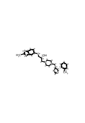 Cc1nc2cc(OC[C@H](O)CN3CCN(C[C@@H]4N=CO[C@H]4c4ccccc4C)CC3)ccc2s1